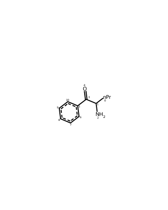 [CH2]CCC(N)C(=O)c1ccccc1